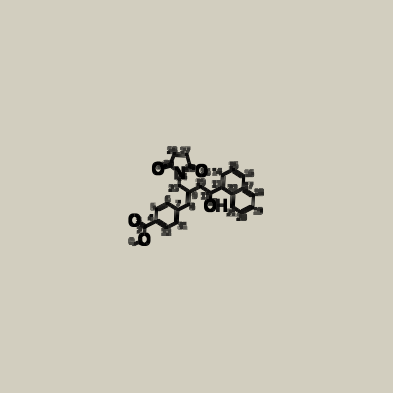 COC(=O)c1ccc(C=C(CC(O)c2cccc3ccccc23)CN2C(=O)C=CC2=O)cc1